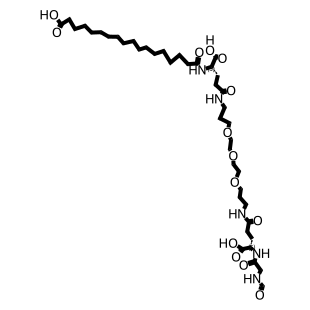 O=CNCC(=O)N[C@@H](CCC(=O)NCCCOCCOCCOCCCNC(=O)CC[C@H](NC(=O)CCCCCCCCCCCCCCCCC(=O)O)C(=O)O)C(=O)O